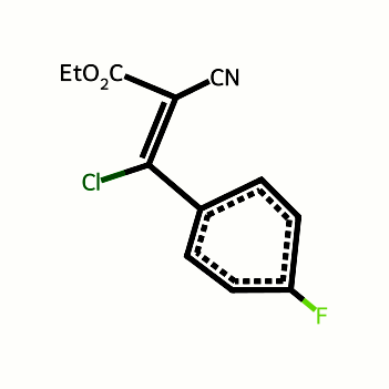 CCOC(=O)C(C#N)=C(Cl)c1ccc(F)cc1